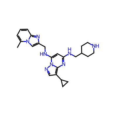 Cc1cccc2nc(CNc3cc(NCC4CCNCC4)nc4c(C5CC5)cnn34)cn12